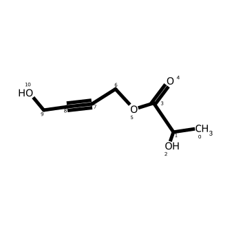 CC(O)C(=O)OCC#CCO